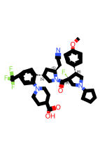 COc1ccc([C@@H]2CN(C3CCCC3)C[C@@]2(F)C(=O)N2C[C@H](c3ccc(C(F)(F)F)cc3N3CCC(C(=O)O)CC3)C[C@H]2CC#N)cc1